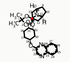 CC(C)(C)OC(=O)N1[C@@H]2CC[C@H]1C[C@H](O[C@H]1CC[C@H](Oc3cnc4ccccc4n3)CC1)C2